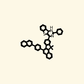 CC1(C)c2cc(C3=C4Sc5ccccc5C4NC(c4ccccc4)=N3)ccc2-c2c(-c3ccc(-c4ccc5ccccc5c4)cc3)cc3ccccc3c21